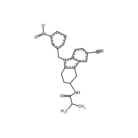 CC(C)C(=O)NC1CCc2c(c3cc(C#N)ccc3n2Cc2cccc([N+](=O)[O-])c2)C1